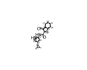 O=C(Nc1cc(C2CC2)n[nH]1)c1sc2ccccc2c1Cl